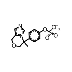 CC1(c2ccc(OS(=O)(=O)C(F)(F)F)cc2)COCc2cncn21